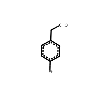 CCc1ccc(CC=O)cc1